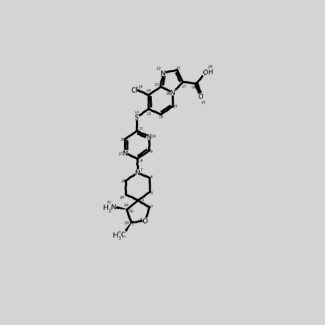 C[C@@H]1OCC2(CCN(c3cnc(Sc4ccn5c(C(=O)O)cnc5c4Cl)cn3)CC2)[C@@H]1N